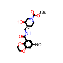 CC(C)(C)OC(=O)N1CC[C@@H](CNC(=O)c2cc(N=O)cc3c2OCCO3)C(O)C1